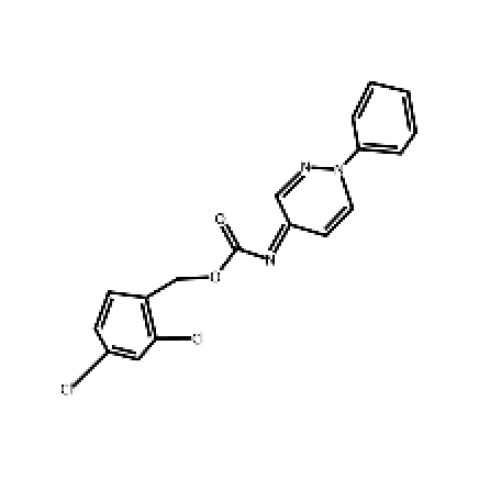 O=C(N=c1ccn(-c2ccccc2)nc1)OCc1ccc(Cl)cc1Cl